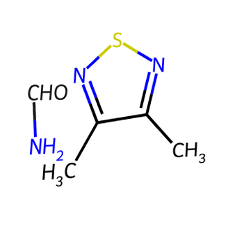 Cc1nsnc1C.NC=O